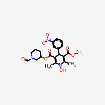 COC(=O)C1=C(C)N(O)C(C)=C(C(=O)OC2CCCN(C=O)C2)C1c1cccc([N+](=O)[O-])c1